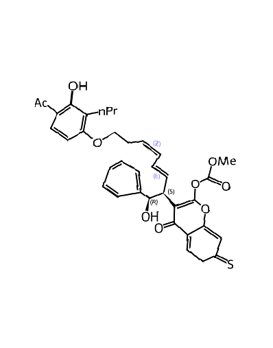 CCCc1c(OCC/C=C\C=C\[C@@H](c2c(OC(=O)OC)oc3c(c2=O)=CCC(=S)C=3)[C@@H](O)c2ccccc2)ccc(C(C)=O)c1O